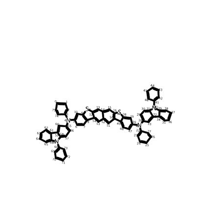 c1ccc(N(c2ccc3c(c2)sc2cc4cc5sc6cc(N(c7ccccc7)c7ccc8c(c7)c7ccccc7n8-c7ccccc7)ccc6c5cc4cc23)c2ccc3c(c2)c2ccccc2n3-c2ccccc2)cc1